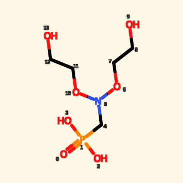 O=P(O)(O)CN(OCCO)OCCO